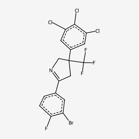 Fc1ccc(C2=NCC(c3cc(Cl)c(Cl)c(Cl)c3)(C(F)(F)F)C2)cc1Br